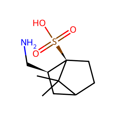 CC1(C)C2CC[C@@]1(S(=O)(=O)O)[C@H](CN)C2